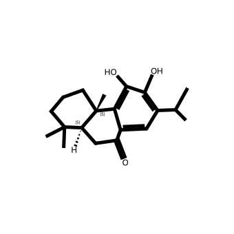 CC(C)c1cc2c(c(O)c1O)[C@@]1(C)CCCC(C)(C)[C@@H]1CC2=O